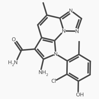 Cc1ccc(O)c(Cl)c1-n1c(N)c(C(N)=O)c2cc(C)c3ncnn3c21